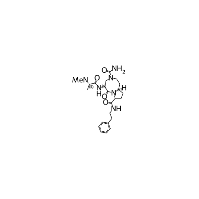 CN[C@@H](C)C(=O)N[C@H]1CN(C(N)=O)CC[C@H]2CCC(C(=O)NCCc3ccccc3)N2C1=O